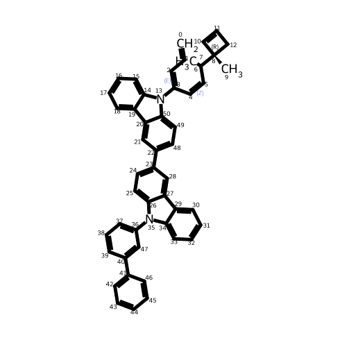 C=C/C=C(\C=C/C(C)[C@]1(C)C=CC1)n1c2ccccc2c2cc(-c3ccc4c(c3)c3ccccc3n4-c3cccc(-c4ccccc4)c3)ccc21